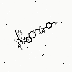 CCOC(=O)C(C)(C)Oc1ccc2c(c1)CCN(Cc1nc(-c3ccc(CF)cc3)ns1)CC2